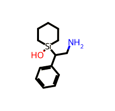 NCC(c1ccccc1)[Si]1(O)CCCCC1